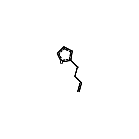 C=CC[CH]c1ccco1